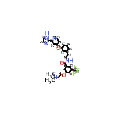 CN(C)CCOc1cc(C(=O)NCCc2cccc(Oc3ccnc(C4=NCCN4)c3)c2)cc(C(F)(F)F)c1